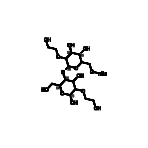 CCCCOCC1O[C@H](O[C@H]2C(O)C(OCCO)[C@@H](O)O[C@H]2CO)C(OCCO)[C@@H](O)[C@@H]1O